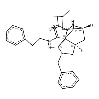 CC(=O)N1C[C@@H]2C[C@H]3CN(Cc4ccccc4)[C@@H]([C@@H]2CC(C)C)[C@]31C(=O)NCCc1ccccc1